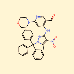 Cc1c([N+](=O)[O-])c(Nc2cc(N3CCOCC3)ncc2C=O)nn1C(c1ccccc1)(c1ccccc1)c1ccccc1